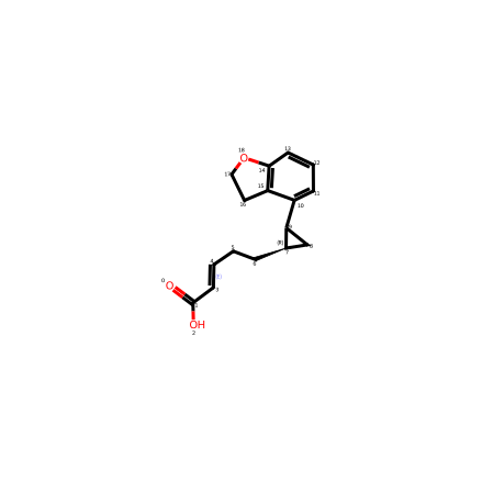 O=C(O)/C=C/CC[C@@H]1CC1c1cccc2c1CCO2